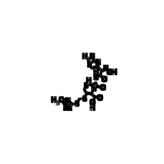 Cn1nnc(SCSC2=C(C(=O)O)N3C(=O)[C@@H](NC(=O)/C(=N\O)c4csc(N)n4)[C@@H]3SC2)n1